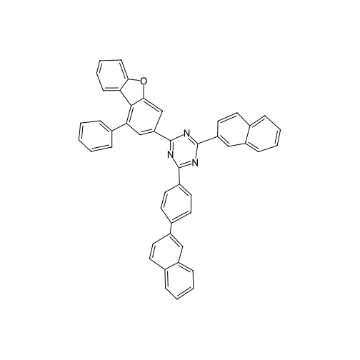 c1ccc(-c2cc(-c3nc(-c4ccc(-c5ccc6ccccc6c5)cc4)nc(-c4ccc5ccccc5c4)n3)cc3oc4ccccc4c23)cc1